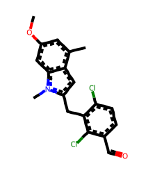 COc1cc(C)c2cc(Cc3c(Cl)ccc(C=O)c3Cl)n(C)c2c1